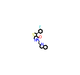 O=c1c2c(-c3cccc(F)c3)csc2cnn1CCc1ccc2ccccc2n1